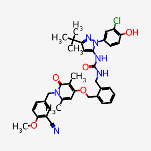 COc1ccc(Cn2c(C)cc(OCc3ccccc3CNC(=O)Nc3cc(C(C)(C)C)nn3-c3ccc(O)c(Cl)c3)c(C)c2=O)cc1C#N